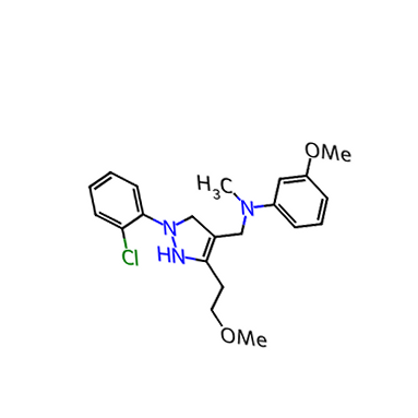 COCCC1=C(CN(C)c2cccc(OC)c2)CN(c2ccccc2Cl)N1